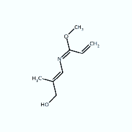 C=C/C(=N\C=C(/C)CO)OC